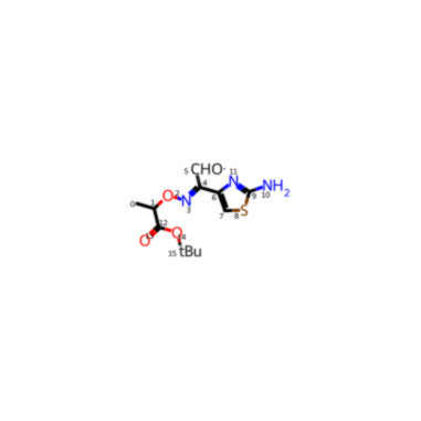 CC(ON=C([C]=O)c1csc(N)n1)C(=O)OC(C)(C)C